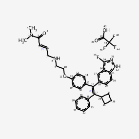 CN(C)C(=O)/C=C/CNCCOc1ccc(/C(=C(\c2ccccc2)C2CCC2)c2ccc3[nH]nc(F)c3c2)cc1.O=C(O)C(F)(F)F